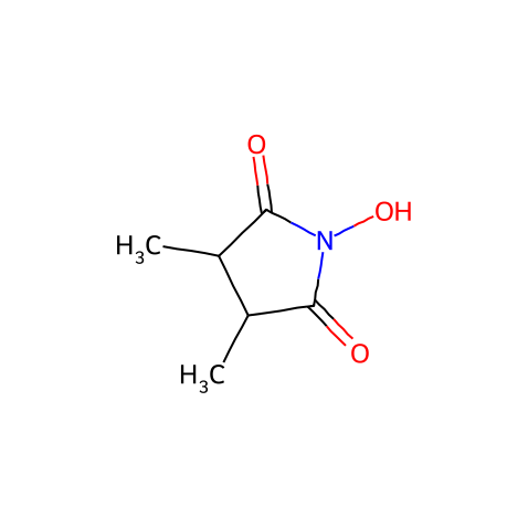 CC1C(=O)N(O)C(=O)C1C